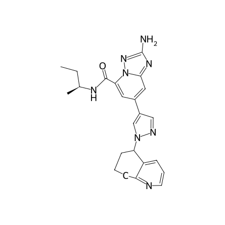 CC[C@H](C)NC(=O)c1cc(-c2cnn(C3CCCc4ncccc43)c2)cc2nc(N)nn12